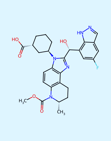 COC(=O)N1c2ccc3c(nc([C@H](O)c4cc(F)cc5cn[nH]c45)n3[C@@H]3CCC[C@@H](C(=O)O)C3)c2CC[C@@H]1C